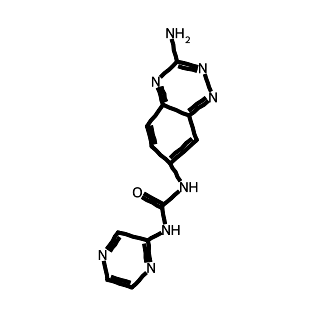 Nc1nnc2cc(NC(=O)Nc3cnccn3)ccc2n1